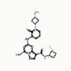 CNc1cc(Nc2cccn([C@H]3C[C@@H](OC)C3)c2=O)nc2c(C(=O)N[C@@H]3CC[C@H]3F)cnn12